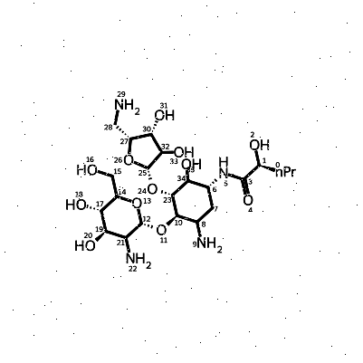 CCC[C@H](O)C(=O)N[C@@H]1CC(N)[C@@H](O[C@H]2OC(CO)[C@@H](O)[C@H](O)C2N)[C@H](O[C@@H]2O[C@H](CN)[C@H](O)C2O)C1O